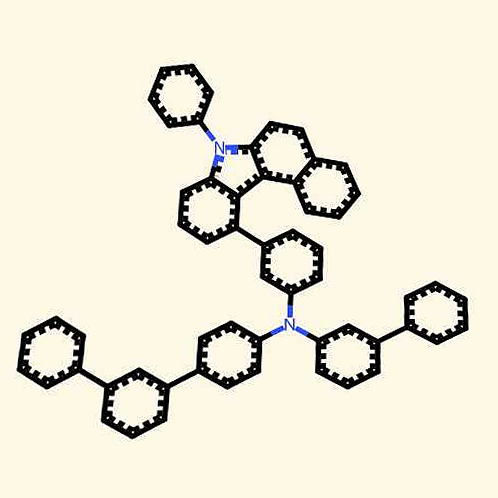 c1ccc(-c2cccc(-c3ccc(N(c4cccc(-c5ccccc5)c4)c4cccc(-c5cccc6c5c5c7ccccc7ccc5n6-c5ccccc5)c4)cc3)c2)cc1